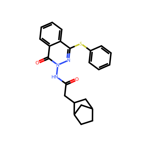 O=C(CC1CC2CCC1C2)Nn1nc(Sc2ccccc2)c2ccccc2c1=O